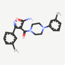 Nc1onc(-c2cccc(C(F)(F)F)c2)c1C(=O)N1CCN(c2cccc(C(F)(F)F)c2)CC1